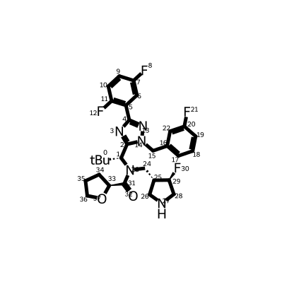 CC(C)(C)[C@H](c1nc(-c2cc(F)ccc2F)nn1Cc1cccc(F)c1)N(C[C@H]1CNC[C@@H]1F)C(=O)[C@@H]1CCCO1